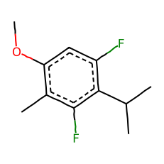 COc1cc(F)c(C(C)C)c(F)c1C